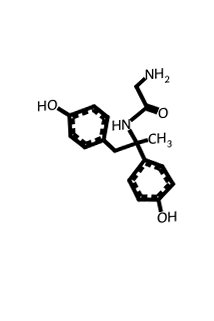 CC(Cc1ccc(O)cc1)(NC(=O)CN)c1ccc(O)cc1